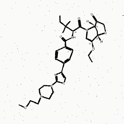 CCO[C@H]1CN(C(=O)[C@@H](NC(=O)c2ccc(-c3csc(N4CCN(CCOC)CC4)n3)cc2)C(C)(C)CC)[C@@H]2C(=O)CO[C@H]12